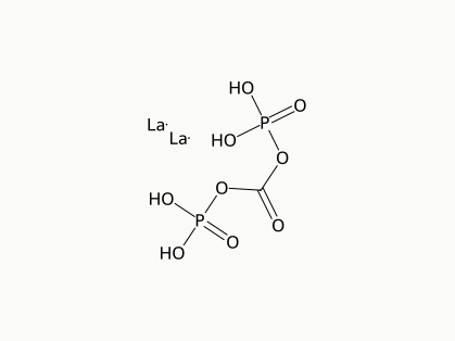 O=C(OP(=O)(O)O)OP(=O)(O)O.[La].[La]